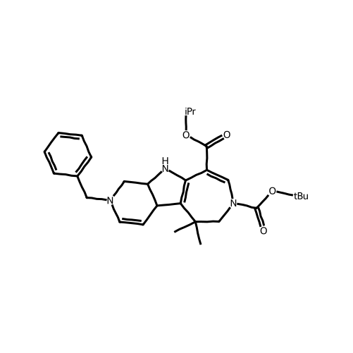 CC(C)OC(=O)C1=CN(C(=O)OC(C)(C)C)CC(C)(C)C2=C1NC1CN(Cc3ccccc3)C=CC21